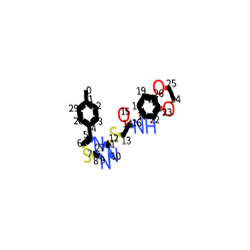 Cc1ccc(-c2csc3nnc(SCC(=O)Nc4ccc5c(c4)OCCO5)n23)cc1